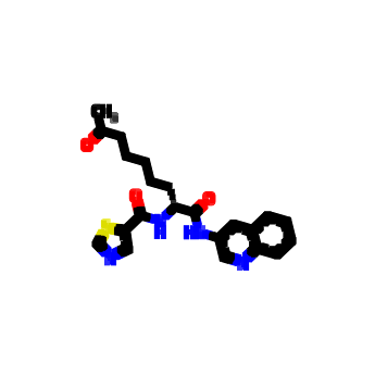 CC(=O)CCCCC[C@@H](NC(=O)c1cncs1)C(=O)Nc1cnc2ccccc2c1